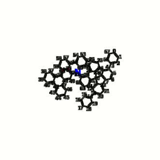 c1ccc(-c2ccc3c(c2)C2(c4cc(-c5ccccc5)ccc4-3)c3ccccc3-c3c(N(c4ccc5c6ccccc6c6ccccc6c5c4)c4ccccc4-c4ccccc4)cccc32)cc1